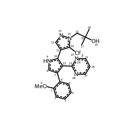 COc1ccccc1-c1c[nH]c(-c2cnn(CC(C)(C)O)c2C(F)(F)F)c1-c1ncccn1